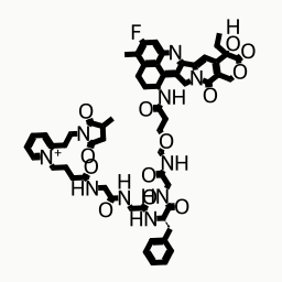 CC[C@@]1(O)C(=O)OCc2c1cc1n(c2=O)Cc2c-1nc1cc(F)c(C)c3c1c2[C@@H](NC(=O)CCOCNC(=O)CNC(=O)[C@H](Cc1ccccc1)NC(=O)CNC(=O)CNC(=O)CCC[n+]1ccccc1CCN1C(=O)CC(C)C1=O)CC3